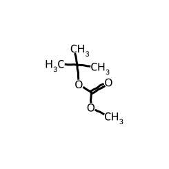 COC(=O)OC(C)(C)C